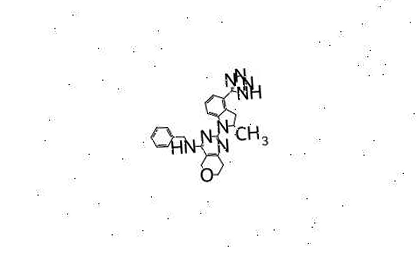 CC1Cc2c(-c3nnn[nH]3)cccc2N1c1nc2c(c(NCc3ccccc3)n1)COCC2